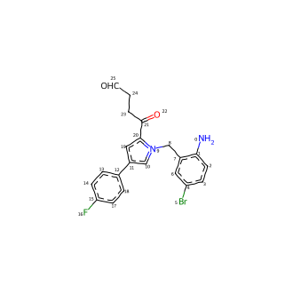 Nc1ccc(Br)cc1Cn1cc(-c2ccc(F)cc2)cc1C(=O)CCC=O